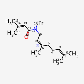 CC(C)=CCC/C(C)=C\CN(C(=O)C=C(C)C)C(C)C